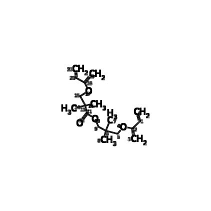 C=CC(=C)OCC(C)(C)COC(=O)C(C)(C)COC(=C)C=C